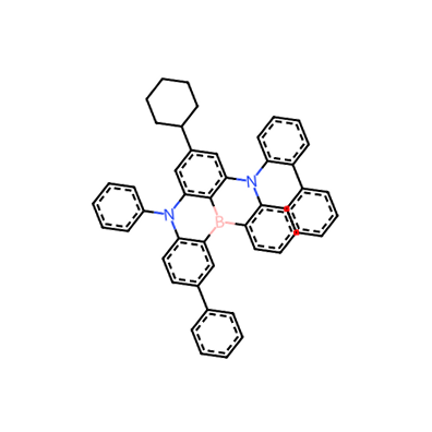 c1ccc(-c2ccc3c(c2)B2c4ccccc4N(c4ccccc4-c4ccccc4)c4cc(C5CCCCC5)cc(c42)N3c2ccccc2)cc1